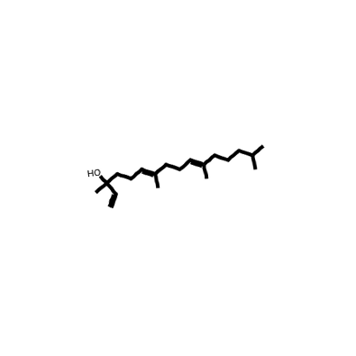 C=CC(C)(O)CC/C=C(\C)CC/C=C(\C)CCCC(C)C